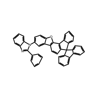 c1ccc(-c2nc3ccccc3n2-c2ccc3oc4c5c(ccc4c3c2)C2(c3ccccc3-c3ccccc32)c2ccccc2-5)cc1